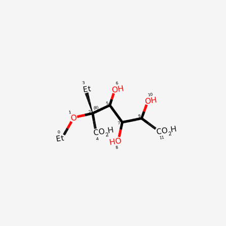 CCO[C@@](CC)(C(=O)O)C(O)C(O)C(O)C(=O)O